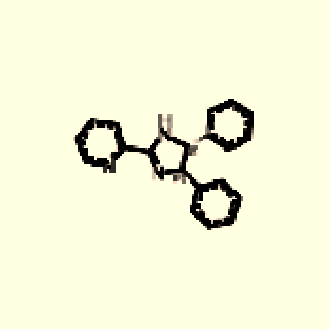 c1ccc([C@H]2N=C(c3ccccn3)N[C@@H]2c2ccccc2)cc1